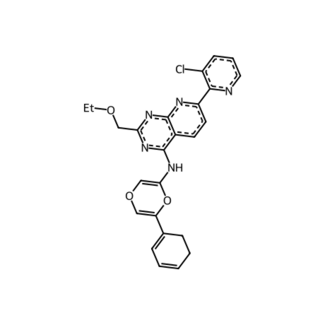 CCOCc1nc(NC2=COC=C(C3=CC=CCC3)O2)c2ccc(-c3ncccc3Cl)nc2n1